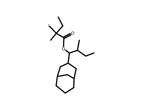 CCC(C)C(OC(=O)C(C)(I)CC)C1CC2CCCC(C2)C1